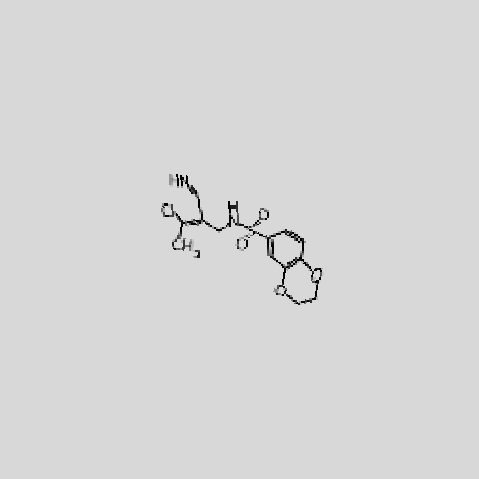 C/C(Cl)=C(/C=N)CNS(=O)(=O)c1ccc2c(c1)OCCO2